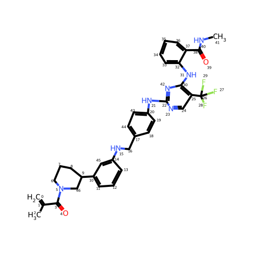 C=C(C)C(=O)N1CCCC(c2cccc(NCc3ccc(Nc4ncc(C(F)(F)F)c(Nc5ccccc5C(=O)NC)n4)cc3)c2)C1